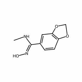 CN/C(=N\O)c1ccc2c(c1)OCO2